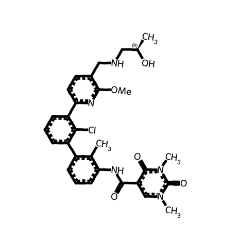 COc1nc(-c2cccc(-c3cccc(NC(=O)c4cn(C)c(=O)n(C)c4=O)c3C)c2Cl)ccc1CNC[C@@H](C)O